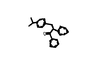 CC(C)c1ccc(CC(C(=O)c2ccccc2)c2ccccc2)cc1